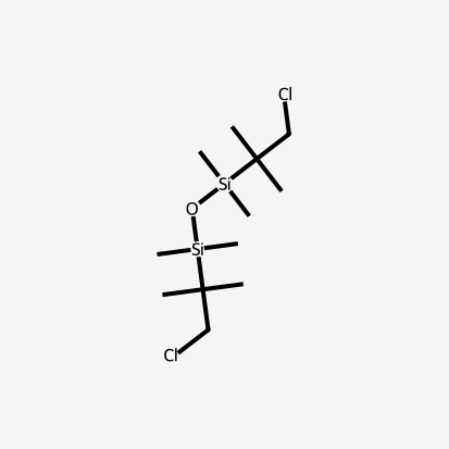 CC(C)(CCl)[Si](C)(C)O[Si](C)(C)C(C)(C)CCl